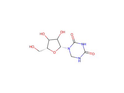 O=C1NCN([C@@H]2O[C@H](CO)C(O)C2O)C(=O)N1